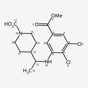 COC(=O)c1cc(Cl)c(Cl)c(NC(C)C2CCN(C(=O)O)CC2)c1